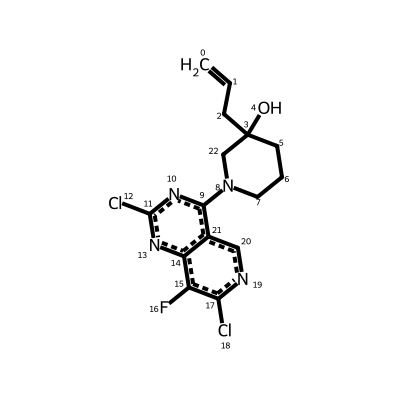 C=CCC1(O)CCCN(c2nc(Cl)nc3c(F)c(Cl)ncc23)C1